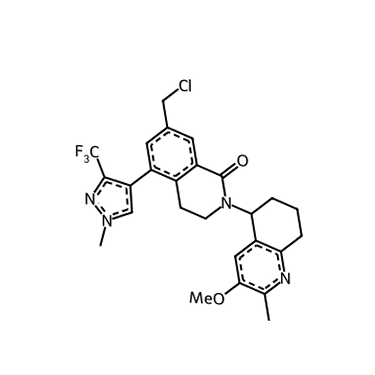 COc1cc2c(nc1C)CCCC2N1CCc2c(cc(CCl)cc2-c2cn(C)nc2C(F)(F)F)C1=O